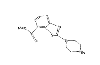 COC(=O)c1cccc2nc(N3CCNCC3)sc12